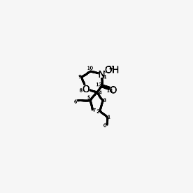 CCCCC1(C(C)C)OCCN(O)C1=O